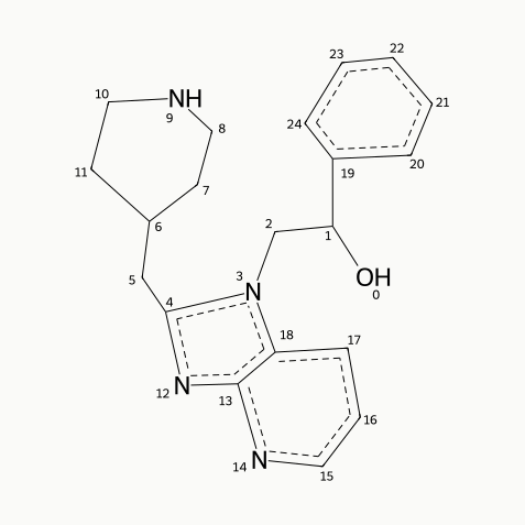 OC(Cn1c(CC2CCNCC2)nc2ncccc21)c1ccccc1